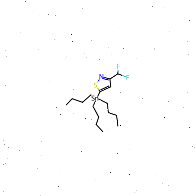 CCC[CH2][Sn]([CH2]CCC)([CH2]CCC)[c]1cc(C(F)F)ns1